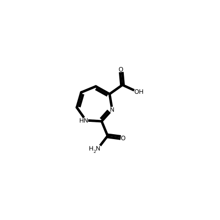 NC(=O)C1=NC(C(=O)O)=CC=CN1